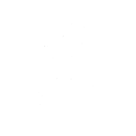 COc1cc(-c2ccco2)c2ccccc2c1-c1ccco1